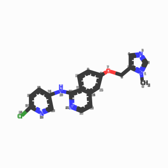 Cn1cncc1COc1ccc2c(Nc3ccc(Cl)nc3)nccc2c1